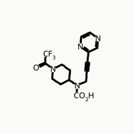 O=C(O)N(CC#Cc1cnccn1)C1CCN(C(=O)C(F)(F)F)CC1